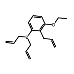 C=CCB(CC=C)c1cccc(OCC)c1CC=C